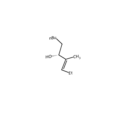 CC/C=C(\C)[C@H](O)CCCCC